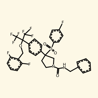 O=C(NCc1ccccc1)N1CCC(c2ccc(C(OCc3c(F)cccc3F)(C(F)(F)F)C(F)(F)F)cc2)(S(=O)(=O)c2ccc(F)cc2)C1